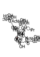 CC(=O)NC1C(OCCCCCC(=O)NCCCCCC(=O)N(CCO)CCOP(=O)(O)OCCN(CCOP(=O)(O)OCCN(CCOC2CCCC(C(C)C)CCC2)C(=O)CCCCCNC(=O)CCCCCOC2OC(CO)C(O)C(O)C2NC(C)=O)C(=O)CCCCCNC(=O)CCCCCOC2OC(CO)C(O)C(O)C2NC(C)=O)OC(CO)C(O)C1O